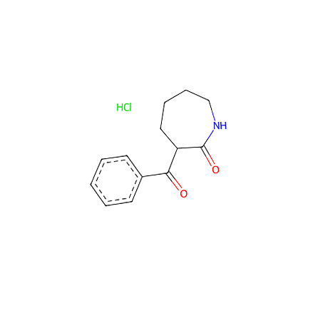 Cl.O=C1NCCCCC1C(=O)c1ccccc1